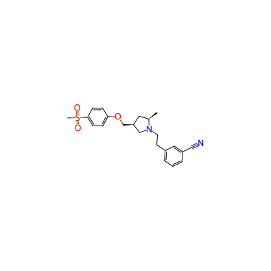 C[C@@H]1C[C@H](COc2ccc(S(C)(=O)=O)cc2)CN1CCc1cccc(C#N)c1